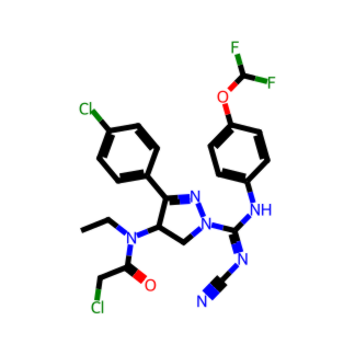 CCN(C(=O)CCl)C1CN(C(=NC#N)Nc2ccc(OC(F)F)cc2)N=C1c1ccc(Cl)cc1